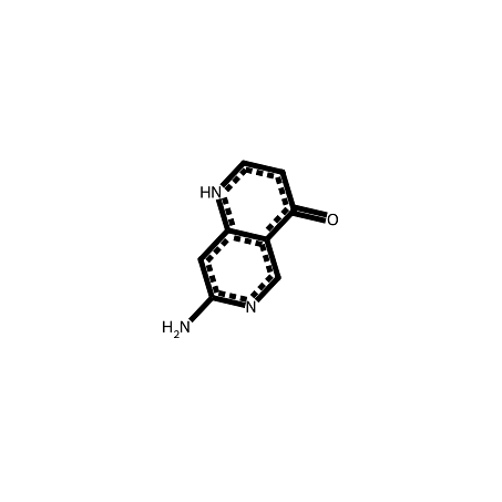 Nc1cc2[nH]ccc(=O)c2cn1